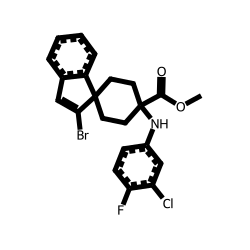 COC(=O)C1(Nc2ccc(F)c(Cl)c2)CCC2(CC1)C(Br)=Cc1ccccc12